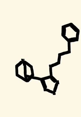 c1ccc(CCCSc2nsnc2C2CN3CCC2CC3)cc1